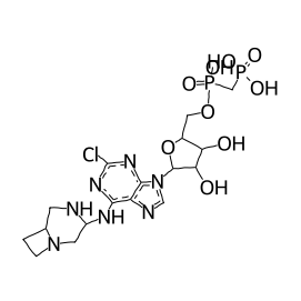 O=P(O)(O)CP(=O)(O)OCC1OC(n2cnc3c(NC4CN5CCC5CN4)nc(Cl)nc32)C(O)C1O